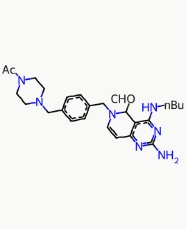 CCCCNc1nc(N)nc2c1C(C=O)N(Cc1ccc(CN3CCN(C(C)=O)CC3)cc1)C=C2